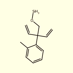 C=CC(C=C)(CO[SiH3])c1ccccc1C